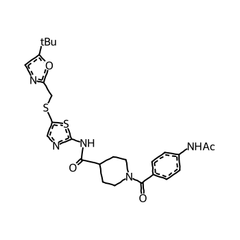 CC(=O)Nc1ccc(C(=O)N2CCC(C(=O)Nc3ncc(SCc4ncc(C(C)(C)C)o4)s3)CC2)cc1